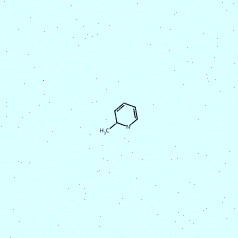 CC1C=CC=C[N]1